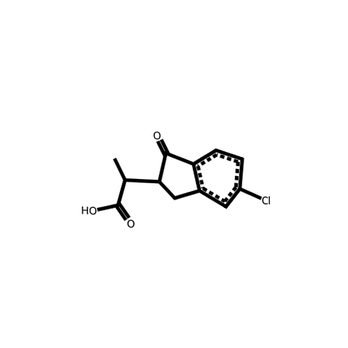 CC(C(=O)O)C1Cc2cc(Cl)ccc2C1=O